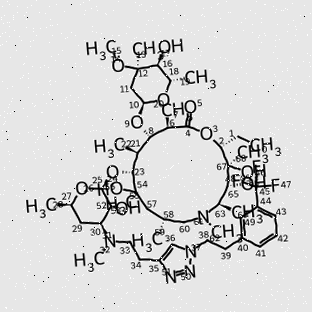 CC[C@H]1OC(=O)[C@H](C)[C@@H](O[C@H]2C[C@@](C)(OC)[C@@H](O)[C@H](C)O2)[C@H](C)[C@@H](O[C@@H]2O[C@H](C)C[C@H](N(C)CCc3cn(CCc4cccc(C(F)(F)F)c4)nn3)[C@H]2O)[C@](C)(O)C[C@@H](C)CN(C)[C@H](C)[C@@H](O)[C@]1(C)O